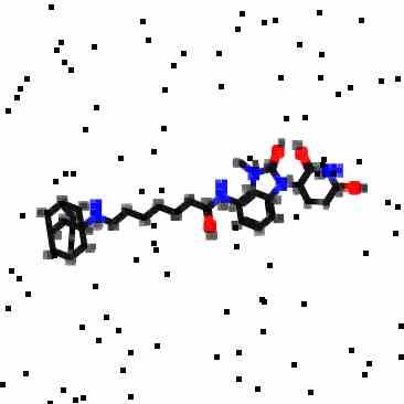 Cn1c(=O)n(C2CCC(=O)NC2=O)c2cccc(NC(=O)CCCCCCNC34CC5CC(CC(C5)C3)C4)c21